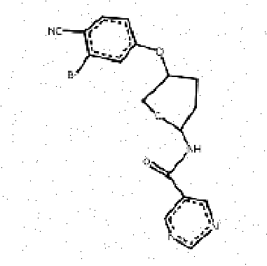 N#Cc1ccc(OC2CCC(NC(=O)c3cncnc3)CC2)cc1Br